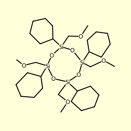 COC[Si]1(C2CCCCC2)O[Si](COC)(C2CCCCC2)O[Si](COC)(C2CCCCC2)O[Si](COC)(C2CCCCC2)O1